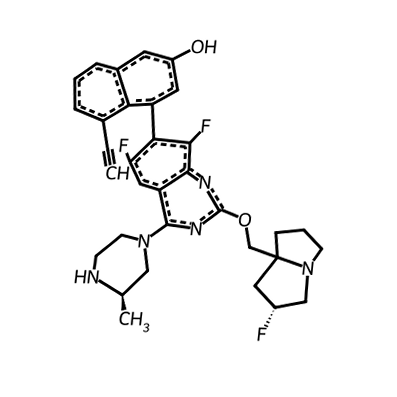 C#Cc1cccc2cc(O)cc(-c3c(F)cc4c(N5CCN[C@H](C)C5)nc(OCC56CCCN5C[C@H](F)C6)nc4c3F)c12